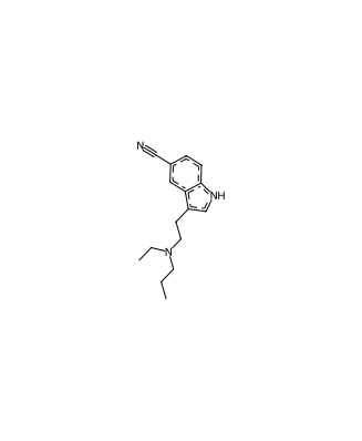 CCCN(CC)CCc1c[nH]c2ccc(C#N)cc12